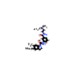 CSc1cc2c(cc1C(F)(F)F)N(C(=O)Nc1cccc(C(=O)NCCN(C)C)c1)CC2